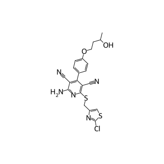 CC(O)CCOc1ccc(-c2c(C#N)c(N)nc(SCc3csc(Cl)n3)c2C#N)cc1